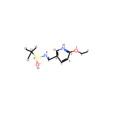 CCOc1ccc(C=N[S+]([O-])C(C)(C)C)cn1